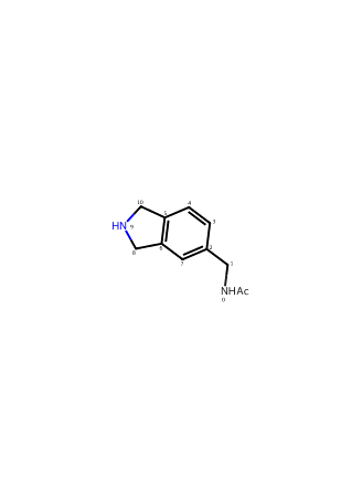 CC(=O)NCc1ccc2c(c1)CNC2